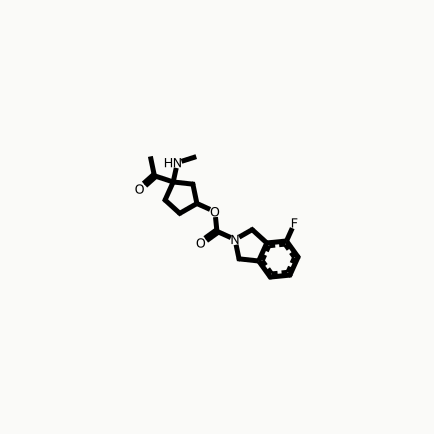 CNC1(C(C)=O)CCC(OC(=O)N2Cc3cccc(F)c3C2)C1